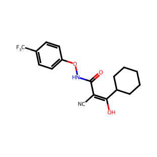 N#C/C(C(=O)NOc1ccc(C(F)(F)F)cc1)=C(\O)C1CCCCC1